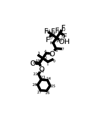 CCC(C)(COC(C)CC(O)(C(F)(F)F)C(F)(F)F)C(=O)OCC1CCCCC1